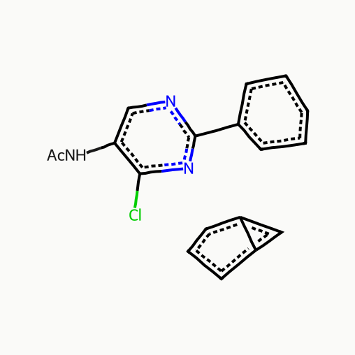 CC(=O)Nc1cnc(-c2ccccc2)nc1Cl.c1cc2cc-2c1